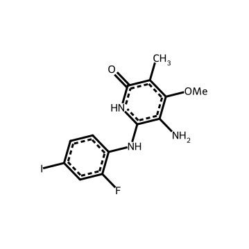 COc1c(N)c(Nc2ccc(I)cc2F)[nH]c(=O)c1C